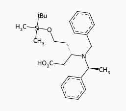 C[C@@H](c1ccccc1)N(Cc1ccccc1)[C@@H](CCO[Si](C)(C)C(C)(C)C)CC(=O)O